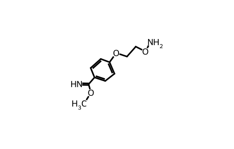 COC(=N)c1ccc(OCCON)cc1